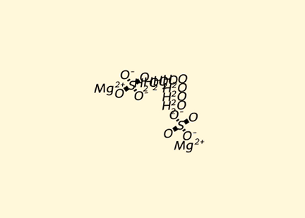 O.O.O.O.O.O.O.O=S(=O)([O-])[O-].O=S(=O)([O-])[O-].[Mg+2].[Mg+2]